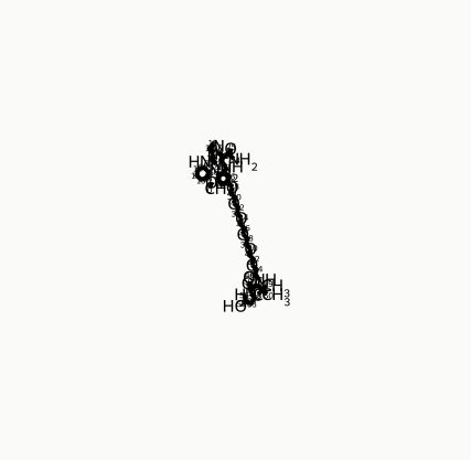 COc1cc(Nc2nc(N[C@H]3CCCC[C@H]3N)n3ccnc3c2C(N)=O)cc(OCCOCCOCCOCCOCCOCC(=O)N[C@H](C(=O)N2CC[C@@H](O)C2)C(C)(C)C)c1